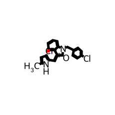 Cc1cc(C)c(C=C2C(=O)N(Cc3ccc(Cl)cc3)c3ccccc32)[nH]1